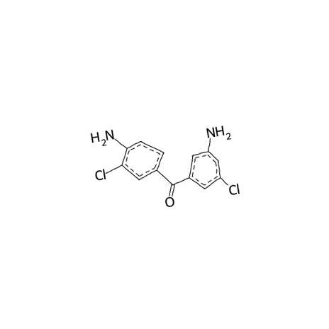 Nc1cc(Cl)cc(C(=O)c2ccc(N)c(Cl)c2)c1